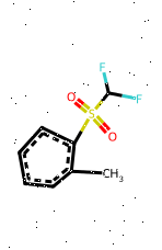 Cc1ccccc1S(=O)(=O)C(F)F